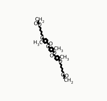 C=CC(=O)OCCCCCCOc1ccc(C(=O)Oc2ccc(OC(=O)c3ccc(OCCCCCCOC(=O)C=C)c(C)c3)c(C)c2)cc1C